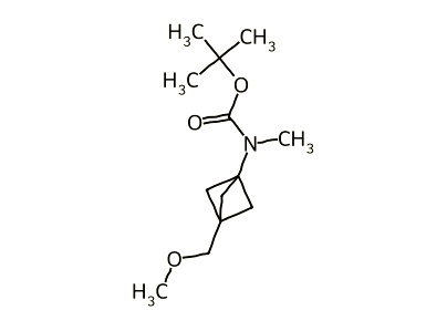 COCC12CC(N(C)C(=O)OC(C)(C)C)(C1)C2